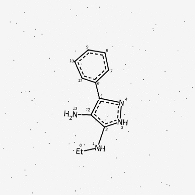 CCNc1[nH]nc(-c2ccccc2)c1N